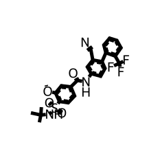 COc1cc(C(=O)Nc2ccc(-c3ccccc3C(F)(F)F)c(C#N)c2)ccc1S(=O)(=O)NC(C)(C)C